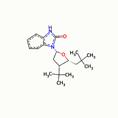 CC(C)(C)C[C@H]1O[C@@H](n2c(=O)[nH]c3ccccc32)CC1C(C)(C)C